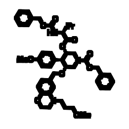 COCCCN1CCOc2ccc(CO[C@H]3CN(C(=O)OCc4ccccc4)C[C@@H](OC(=O)[C@@H](NC(=O)OCc4ccccc4)C(C)C)[C@@H]3c3ccc(OC)cc3)cc21